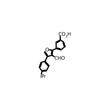 CC(C)c1ccc(-c2coc(-c3cccc(C(=O)O)c3)c2C=O)cc1